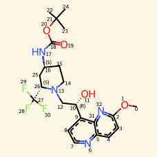 COc1ccc2nccc([C@@H](O)CN3CC[C@H](NC(=O)OC(C)(C)C)C[C@H]3C(F)(F)F)c2n1